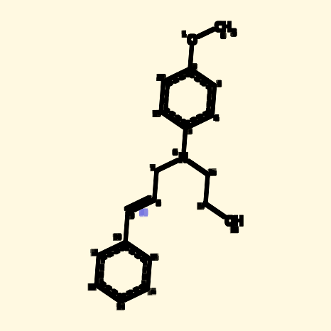 COc1ccc(N(C/C=C/c2ccccc2)CCO)cc1